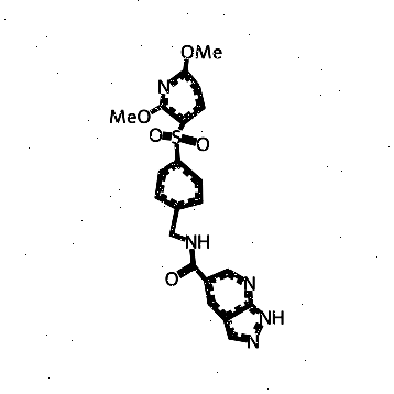 COc1ccc(S(=O)(=O)c2ccc(CNC(=O)c3cnc4[nH]ncc4c3)cc2)c(OC)n1